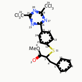 COC(=O)C(Cc1ccccc1)Sc1ccc(-c2nc(C(Cl)(Cl)Cl)nc(C(Cl)(Cl)Cl)n2)cc1